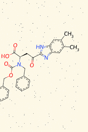 Cc1cc2nc(C(=O)C[C@H](C(=O)O)N(Cc3ccccc3)C(=O)OCc3ccccc3)[nH]c2cc1C